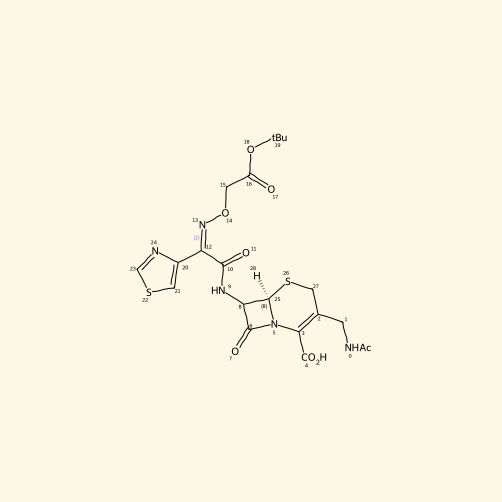 CC(=O)NCC1=C(C(=O)O)N2C(=O)C(NC(=O)/C(=N\OCC(=O)OC(C)(C)C)c3cscn3)[C@H]2SC1